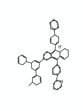 CC1C=C(C2=CC(c3ccc4c(c3)=C(c3ccc(-c5ccccn5)cc3)C3=CCCC[C@@H]3C=4C3=CCC(c4ccccn4)C=C3)=CC(C3C=CC=CC3)C2)C=CC1